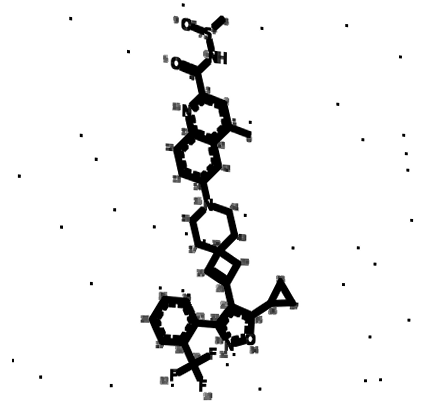 Cc1cc(C(=O)N[S+](C)[O-])nc2ccc(N3CCC4(C=C(c5c(-c6ccccc6C(F)(F)F)noc5C5CC5)C4)CC3)cc12